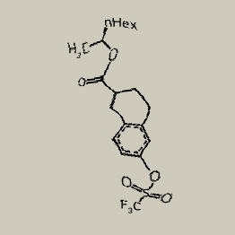 CCCCCC[C@H](C)OC(=O)C1CCc2cc(OS(=O)(=O)C(F)(F)F)ccc2C1